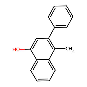 Cc1c(-c2ccccc2)cc(O)c2ccccc12